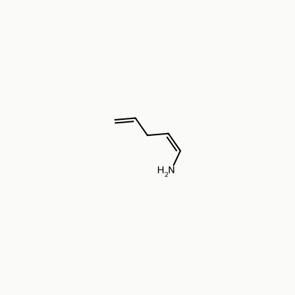 C=CC/C=C\N